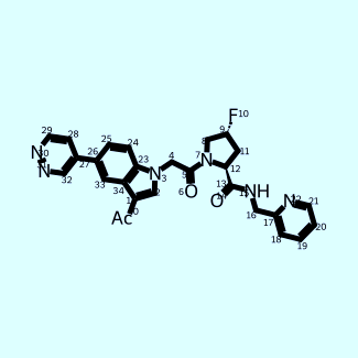 CC(=O)c1cn(CC(=O)N2C[C@H](F)C[C@H]2C(=O)NCc2ccccn2)c2ccc(-c3ccnnc3)cc12